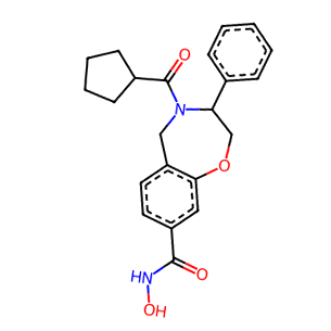 O=C(NO)c1ccc2c(c1)OCC(c1ccccc1)N(C(=O)C1CCCC1)C2